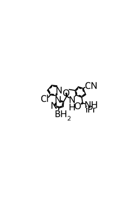 Bc1cc(C(=O)Nc2c(C)cc(C#N)cc2C(=O)NC(C)C)n(-c2ncccc2Cl)n1